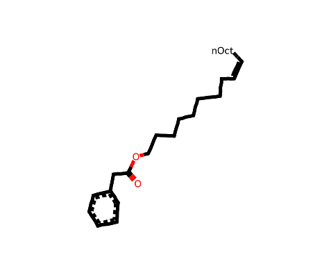 CCCCCCCC/C=C\CCCCCCCCOC(=O)Cc1ccccc1